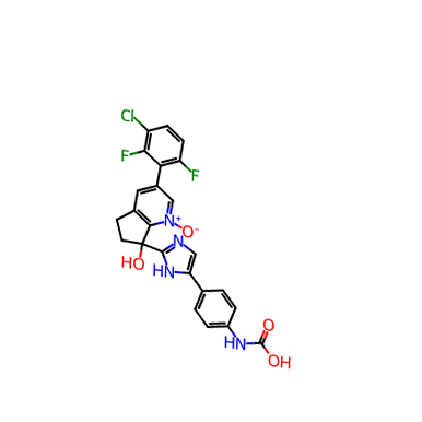 O=C(O)Nc1ccc(-c2cnc(C3(O)CCc4cc(-c5c(F)ccc(Cl)c5F)c[n+]([O-])c43)[nH]2)cc1